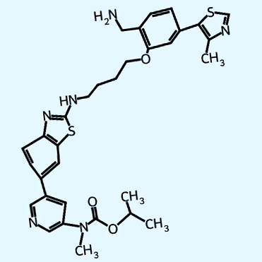 Cc1ncsc1-c1ccc(CN)c(OCCCCNc2nc3ccc(-c4cncc(N(C)C(=O)OC(C)C)c4)cc3s2)c1